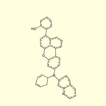 Oc1ccccc1-c1ccc2c3c(cccc13)-c1ccc(N(c3ccc4cccnc4c3)C3C=CC=CC3)cc1O2